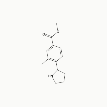 COC(=O)c1ccc(C2CCCN2)c(C)c1